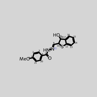 COc1ccc(C(=O)N/N=C/C2Sc3ccccc3C2O)cc1